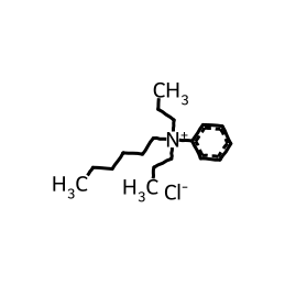 CCCCCC[N+](CCC)(CCC)c1ccccc1.[Cl-]